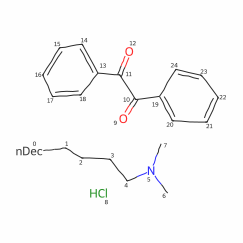 CCCCCCCCCCCCCCN(C)C.Cl.O=C(C(=O)c1ccccc1)c1ccccc1